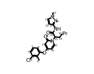 Cc1c(Cl)cccc1Oc1ccn(C(CC(C)C)C(=O)Nc2ccn(C)n2)c(=O)c1